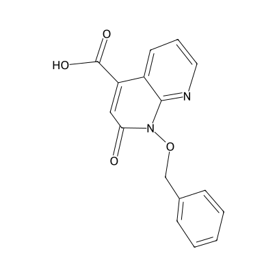 O=C(O)c1cc(=O)n(OCc2ccccc2)c2ncccc12